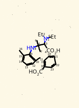 CCN(CC)C(C(=O)O)C(C)(C)Nc1c(C)cccc1C.O=C(O)c1ccccc1